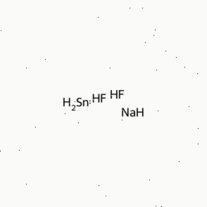 F.F.[NaH].[SnH2]